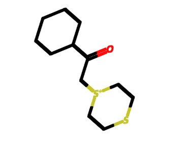 O=C(C[S+]1CCSCC1)C1CCCCC1